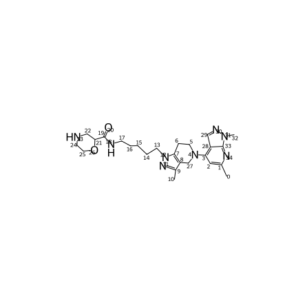 Cc1cc(N2CCc3c(c(C)nn3CCCCCNC(=O)C3CNCCO3)C2)c2cnn(C)c2n1